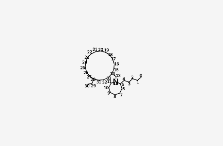 CCCCCC1CCCCCCN1CC1CCCCCCCCCCCCCC(CC)CCC1